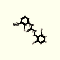 COc1cccc(NC(=O)NCc2c(F)cccc2F)c1F